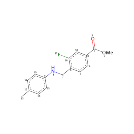 COC(=O)c1ccc(CNc2ccc(C)cc2)c(F)c1